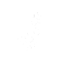 Cc1ccc(NC(=O)N2C3CCCC2(c2ncnn2C)C3)cc1-c1ncc2cccn2n1